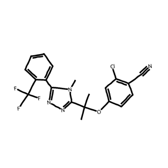 Cn1c(-c2ccccc2C(F)(F)F)nnc1C(C)(C)Oc1ccc(C#N)c(Cl)c1